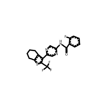 O=C(Nc1cnc(-c2c(C(F)(F)F)sc3c2CCCC3)cn1)c1ccccc1F